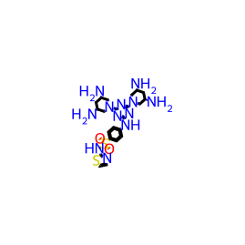 N[C@@H]1C[C@H](N)CN(c2nc(Nc3ccc(S(=O)(=O)Nc4nccs4)cc3)nc(N3C[C@H](N)C[C@H](N)C3)n2)C1